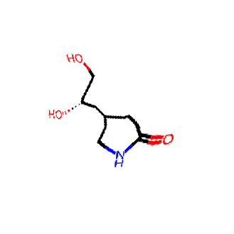 O=C1CC([C@H](O)CO)CN1